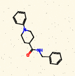 O=C(NCc1ccccc1)C1CCN(c2ccccc2)CC1